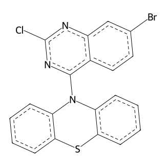 Clc1nc(N2c3ccccc3Sc3ccccc32)c2ccc(Br)cc2n1